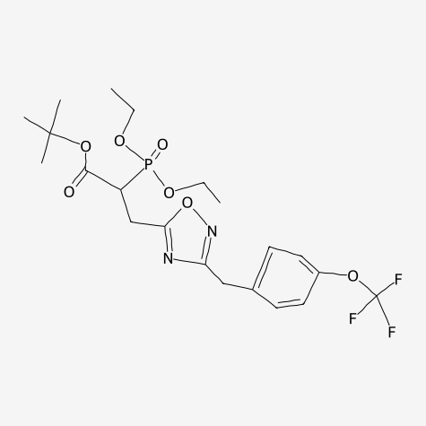 CCOP(=O)(OCC)C(Cc1nc(Cc2ccc(OC(F)(F)F)cc2)no1)C(=O)OC(C)(C)C